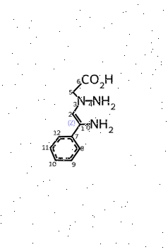 N/C(=C\N(N)CC(=O)O)c1ccccc1